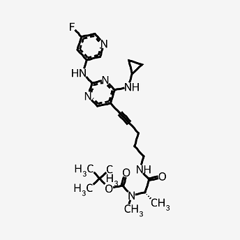 C[C@@H](C(=O)NCCCC#Cc1cnc(Nc2cncc(F)c2)nc1NC1CC1)N(C)C(=O)OC(C)(C)C